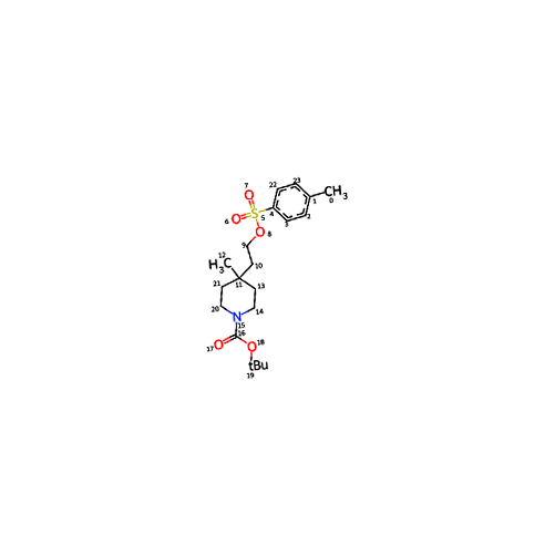 Cc1ccc(S(=O)(=O)OCCC2(C)CCN(C(=O)OC(C)(C)C)CC2)cc1